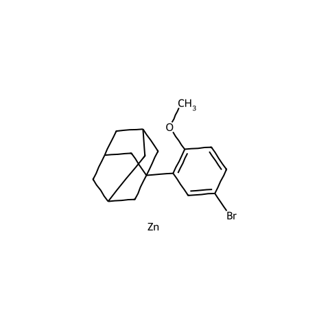 COc1ccc(Br)cc1C12CC3CC(CC(C3)C1)C2.[Zn]